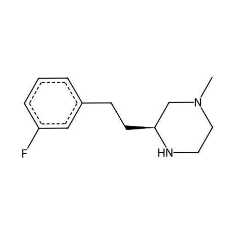 CN1CCN[C@@H](CCc2cccc(F)c2)C1